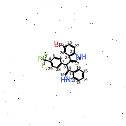 FC(F)(F)c1ccc(C(c2c[nH]c3ccccc23)c2c[nH]c3ccc(Br)cc23)cc1